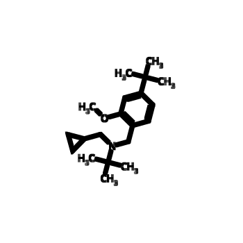 COc1cc(C(C)(C)C)ccc1CN(CC1CC1)C(C)(C)C